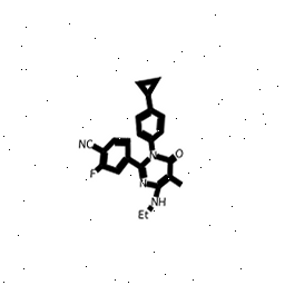 CCNc1nc(-c2ccc(C#N)c(F)c2)n(-c2ccc(C3CC3)cc2)c(=O)c1C